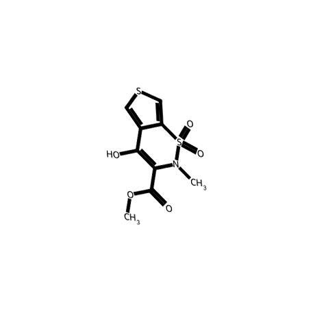 COC(=O)C1=C(O)c2cscc2S(=O)(=O)N1C